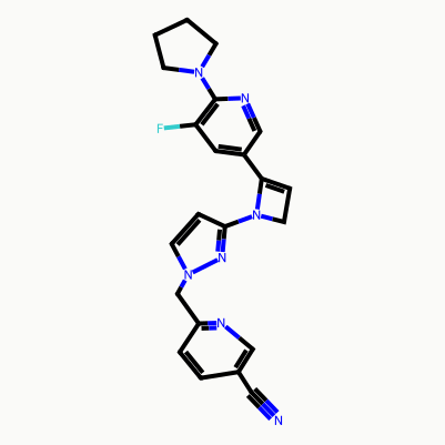 N#Cc1ccc(Cn2ccc(N3CC=C3c3cnc(N4CCCC4)c(F)c3)n2)nc1